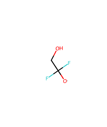 [O]C(F)(F)CO